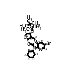 CC(C)(C)[Si](C)(C)OC1COCC1Cn1c(=O)n(C2=CCCCC2)c2ncc(Br)cc21